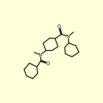 CN(C(=O)C1CCC(N(C)C(=O)C2CCCCC2)CC1)C1CCCCC1